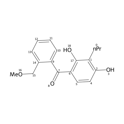 CCCc1c(O)ccc(C(=O)c2ccccc2COC)c1O